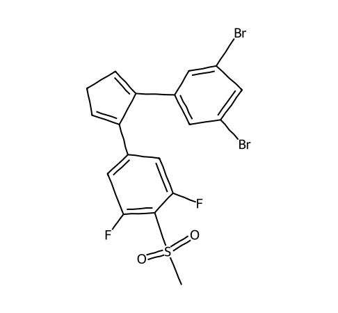 CS(=O)(=O)c1c(F)cc(C2=CCC=C2c2cc(Br)cc(Br)c2)cc1F